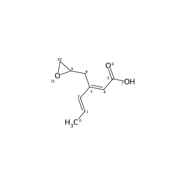 C/C=C/C(=C/C(=O)O)CC1CO1